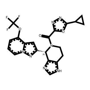 O=C(c1nnc(C2CC2)o1)N1CCc2[nH]cnc2[C@@H]1c1cc2c(OC(F)(F)F)cccn2n1